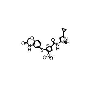 O=C1COc2ccc(Sc3sc(C(=O)Nc4cc(C5CC5)n[nH]4)cc3[N+](=O)[O-])cc2N1